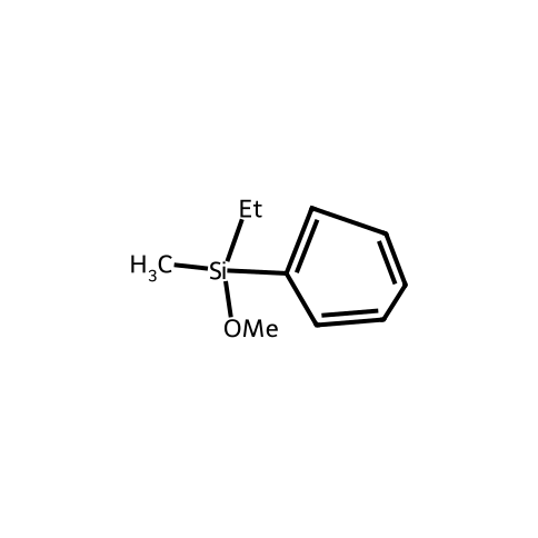 CC[Si](C)(OC)c1ccccc1